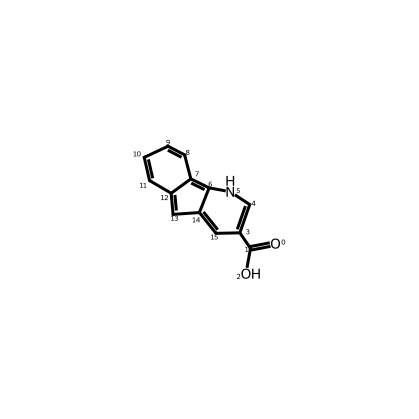 O=C(O)c1c[nH]c2c3ccccc3cc-2c1